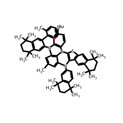 Cc1cc2c3c(c1)N(c1ccc4c(c1)C(C)(C)CCC4(C)C)c1c(sc4cc5c(cc14)C(C)(C)CCC5(C)C)B3c1ccc(C(C)(C)C)cc1N2c1cc2c(cc1-c1ccccc1C)C(C)(C)CCC2(C)C